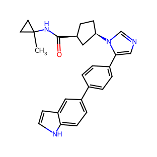 CC1(NC(=O)[C@H]2CC[C@@H](n3cncc3-c3ccc(-c4ccc5[nH]ccc5c4)cc3)C2)CC1